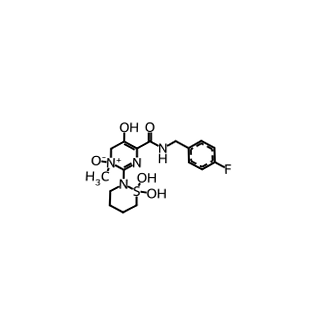 C[N+]1([O-])CC(O)=C(C(=O)NCc2ccc(F)cc2)N=C1N1CCCCS1(O)O